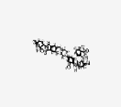 COc1cc(N2CCN(Cc3cc4c(cc3F)C(=O)N(C3CCC(=O)NC3=O)C4)CC2)ccc1Nc1ncc(Cl)c(Nc2ccccc2P(C)(C)=O)n1